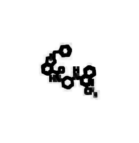 O=C(N[C@@H]1CCC[C@H](Nc2cc(C(F)(F)F)nc3ccccc23)C1)c1cccc2c1CN(Cc1ccccc1)C2